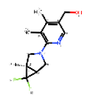 Cc1c(CO)cnc(N2CC3[C@H](C2)C3(F)F)c1C#N